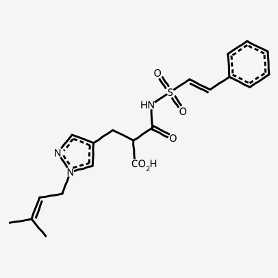 CC(C)=CCn1cc(CC(C(=O)O)C(=O)NS(=O)(=O)/C=C/c2ccccc2)cn1